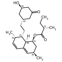 CC[C@H](C)C(=O)O[C@H]1C[C@@H](C)C=C2C=C[C@H](C)[C@H](CC[C@H]3CC(=O)C[C@H](O)C3)[C@H]21